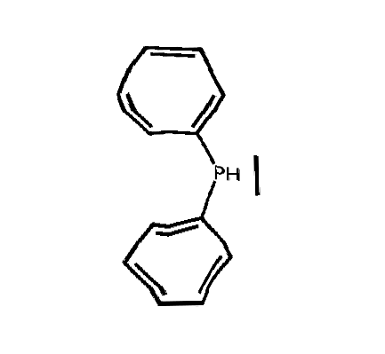 CC.c1ccc(Pc2ccccc2)cc1